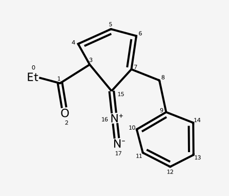 CCC(=O)C1C=CC=C(Cc2ccccc2)C1=[N+]=[N-]